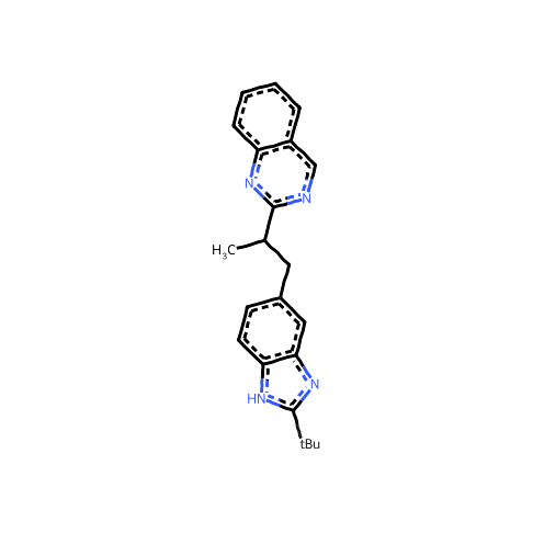 CC(Cc1ccc2[nH]c(C(C)(C)C)nc2c1)c1ncc2ccccc2n1